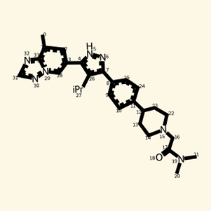 Cc1cc(-c2[nH]nc(-c3ccc(C4CCN(CC(=O)N(C)C)CC4)cc3)c2C(C)C)cn2ncnc12